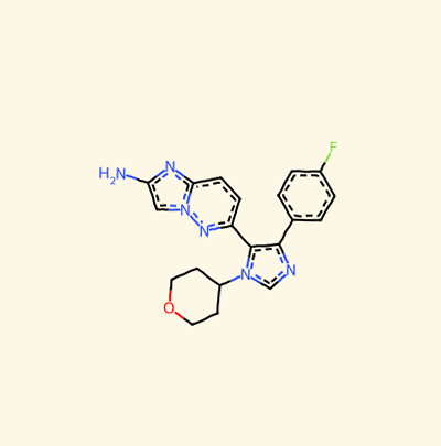 Nc1cn2nc(-c3c(-c4ccc(F)cc4)ncn3C3CCOCC3)ccc2n1